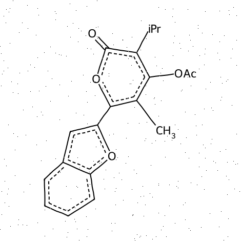 CC(=O)Oc1c(C)c(-c2cc3ccccc3o2)oc(=O)c1C(C)C